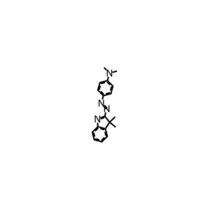 CN(C)c1ccc(N=NC2=Nc3ccccc3C2(C)C)cc1